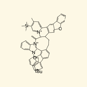 C=C1C2C(CCc3ccc4c(oc5ccccc54)c3-c3n(-c4ccc(C(C)(C)C)cc4)c4ccccc4[n+]31)c1cc3oc4ccccc4c3cc1-c1cc(C)c([Si](C)(C)C)c[n+]12